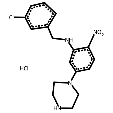 Cl.O=[N+]([O-])c1ccc(N2CCNCC2)cc1NCc1cccc(Cl)c1